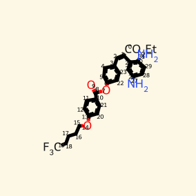 CCOC(=O)C(=Cc1ccc(OC(=O)c2ccc(OCCCCC(F)(F)F)cc2)cc1)c1cc(N)ccc1N